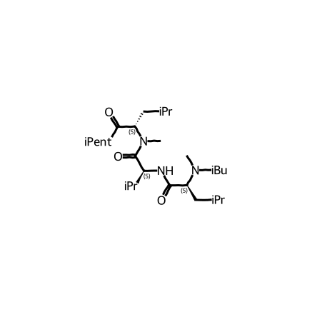 CCCC(C)C(=O)[C@H](CC(C)C)N(C)C(=O)[C@@H](NC(=O)[C@H](CC(C)C)N(C)C(C)CC)C(C)C